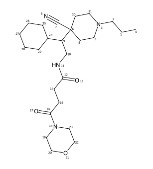 CCCN1CCC(C#N)(C(CNC(=O)CCC(=O)N2CCOCC2)C2CCCCC2)CC1